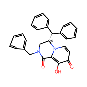 O=C1c2c(O)c(=O)ccn2[C@@H](C(c2ccccc2)c2ccccc2)CN1Cc1ccccc1